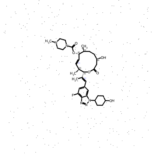 C/C(=C\c1cc(F)c2nnn(C3CCC(O)CC3)c2c1)[C@H]1OC(=O)C[C@H](O)CC[C@H](C)[C@@H](OC(=O)N2CCN(C)CC2)/C=C/[C@@H]1C